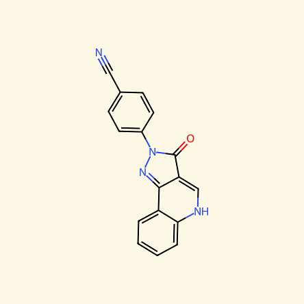 N#Cc1ccc(-n2nc3c4ccccc4[nH]cc-3c2=O)cc1